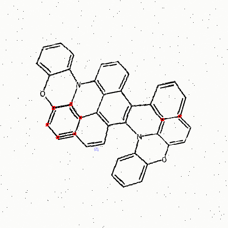 C=C/C=C\c1c(N2c3ccccc3Oc3ccccc32)c(-c2ccccc2)c2cccc(N3c4ccccc4Oc4ccccc43)c2c1-c1ccccc1